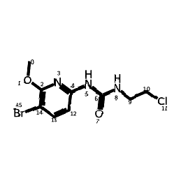 COc1nc(NC(=O)NCCCl)ccc1Br